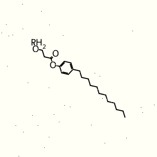 CCCCCCCCCCCCc1ccc(OC(=O)CCOP)cc1